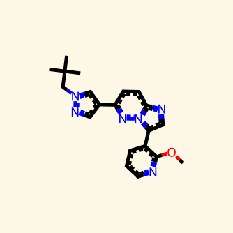 COc1ncccc1-c1cnc2ccc(-c3cnn(CC(C)(C)C)c3)nn12